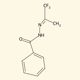 CC(=NNC(=O)c1ccccc1)C(F)(F)F